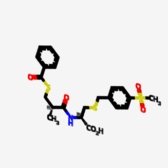 C[C@H](CSC(=O)c1ccccc1)C(=O)N[C@@H](CSCc1ccc(S(C)(=O)=O)cc1)C(=O)O